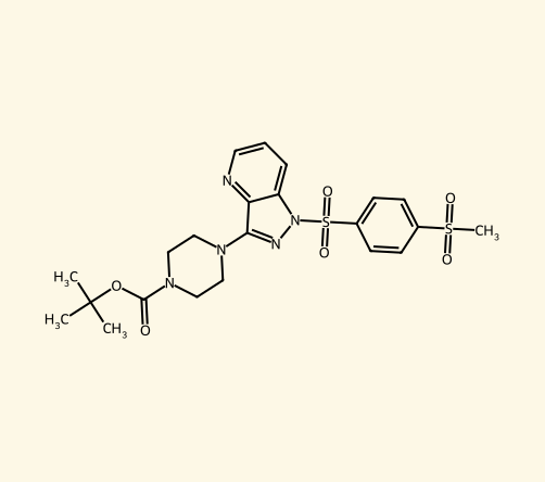 CC(C)(C)OC(=O)N1CCN(c2nn(S(=O)(=O)c3ccc(S(C)(=O)=O)cc3)c3cccnc23)CC1